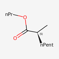 CCCCC[C@H](C)C(=O)OCCC